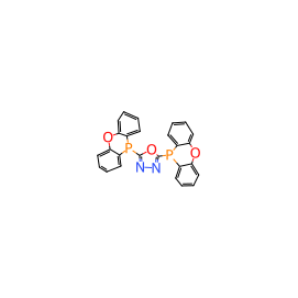 c1ccc2c(c1)Oc1ccccc1P2c1nnc(P2c3ccccc3Oc3ccccc32)o1